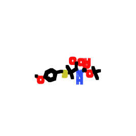 COc1ccc(CSC(C)(C)C(NC(=O)OC(C)(C)C)C(=O)O)cc1